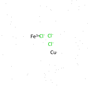 [Cl-].[Cl-].[Cl-].[Cu].[Fe+3]